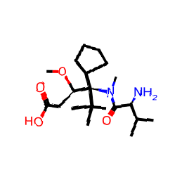 CO[C@H](CC(=O)O)[C@@](C1CCCC1)(N(C)C(=O)[C@@H](N)C(C)C)C(C)(C)C